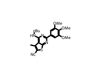 CCCCNc1nc(-c2cc(OC)c(OC)c(OC)c2)nc2sc(C#N)c(C)c12